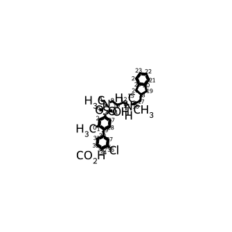 Cc1cc(S(=O)(=O)N(C)C[C@H](O)CNC(C)(C)CC2Cc3ccccc3C2)ccc1-c1ccc(C(=O)O)c(Cl)c1